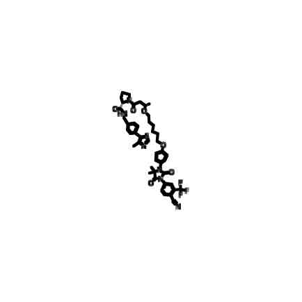 Cc1ncsc1-c1ccc(CNC(=O)[C@@H]2CCCN2C(=O)C[C@@H](C)OCCCCCCOc2ccc(N3C(=O)N(c4ccc(C#N)c(C(F)(F)F)c4)C(=O)C3(C)C)cc2)cc1